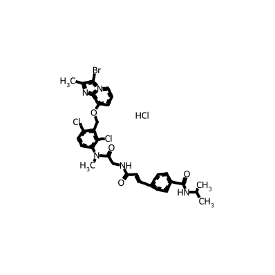 Cc1nc2c(OCc3c(Cl)ccc(N(C)C(=O)CNC(=O)C=Cc4ccc(C(=O)NC(C)C)cc4)c3Cl)cccn2c1Br.Cl